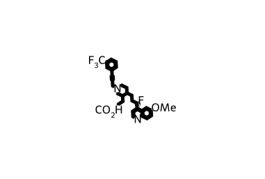 COc1ccc2nccc([C@@H](F)CCC3CCN(CC#Cc4cccc(C(F)(F)F)c4)CC3CCC(=O)O)c2c1